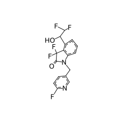 O=C1N(Cc2ccc(F)nc2)c2cccc(C(O)C(F)F)c2C1(F)F